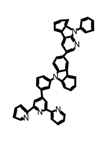 c1ccc(-n2c3ccccc3c3cc(-c4ccc5c(c4)c4ccccc4n5-c4cccc(-c5cc(-c6ccccn6)nc(-c6ccccn6)c5)c4)cnc32)cc1